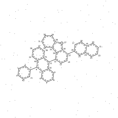 c1ccc(-c2c3ccccc3c(-c3ccc(-c4ccc5ccccc5c4)c4oc5ccccc5c34)c3ccccc23)cc1